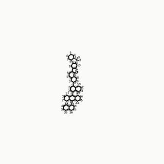 CC1(C)c2ccccc2-c2cc3c(cc21)sc1c2ccc(-c4ccc(-c5c6ccccc6c(-c6cccc7ccccc67)c6ccccc56)c5ccccc45)cc2ccc31